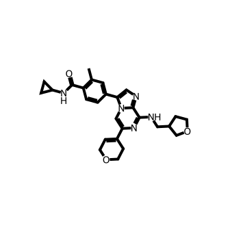 Cc1cc(-c2cnc3c(NCC4CCOC4)nc(C4=CCOCC4)cn23)ccc1C(=O)NC1CC1